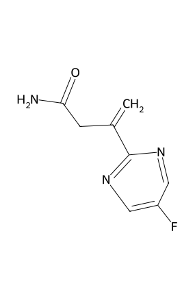 C=C(CC(N)=O)c1ncc(F)cn1